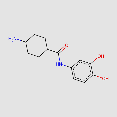 NC1CCC(C(=O)Nc2ccc(O)c(O)c2)CC1